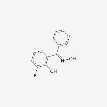 O/N=C(\c1ccccc1)c1cccc(Br)c1O